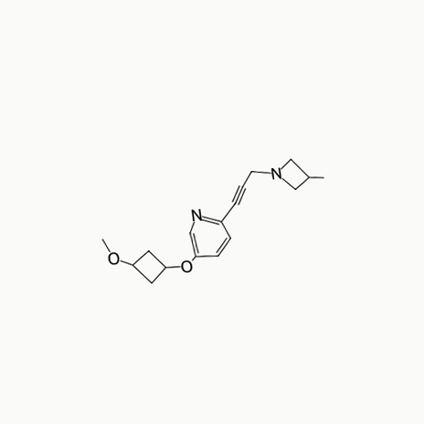 COC1CC(Oc2ccc(C#CCN3CC(C)C3)nc2)C1